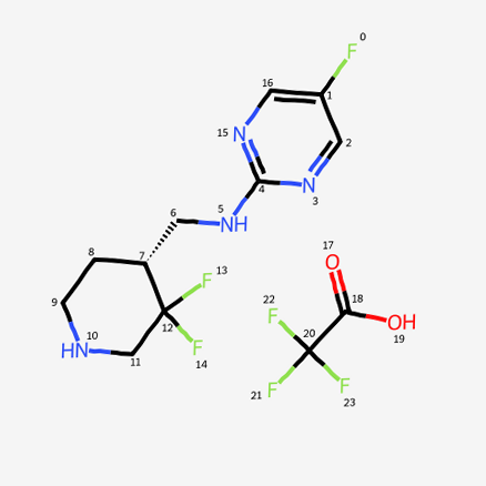 Fc1cnc(NC[C@H]2CCNCC2(F)F)nc1.O=C(O)C(F)(F)F